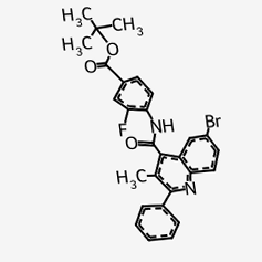 Cc1c(-c2ccccc2)nc2ccc(Br)cc2c1C(=O)Nc1ccc(C(=O)OC(C)(C)C)cc1F